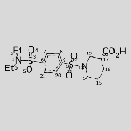 CCN(CC)S(=O)(=O)c1ccc(S(=O)(=O)N2CCCC(C(=O)O)C2)cc1